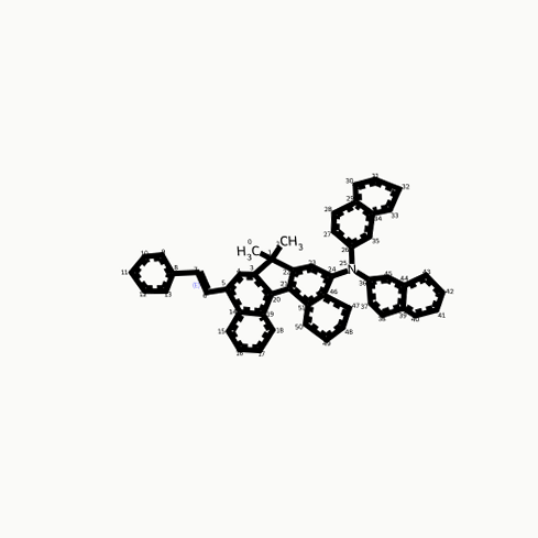 CC1(C)c2cc(/C=C/c3ccccc3)c3ccccc3c2-c2c1cc(N(c1ccc3ccccc3c1)c1ccc3ccccc3c1)c1ccccc21